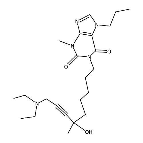 CCCn1cnc2c1c(=O)n(CCCCCC(C)(O)C#CCN(CC)CC)c(=O)n2C